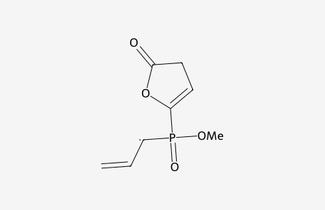 C=C[CH]P(=O)(OC)C1=CCC(=O)O1